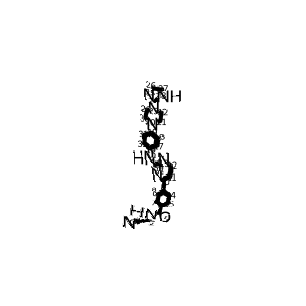 N#CCNC(=O)c1ccc(-c2ccnc(Nc3ccc(N4CCN(C5=NCCN5)CC4)cc3)n2)cc1